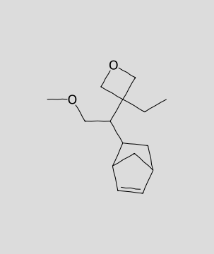 CCC1(C(COC)C2CC3C=CC2C3)COC1